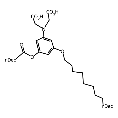 CCCCCCCCCCCCCCCCCCOc1cc(OC(=O)CCCCCCCCCC)cc(N(CC(=O)O)CC(=O)O)c1